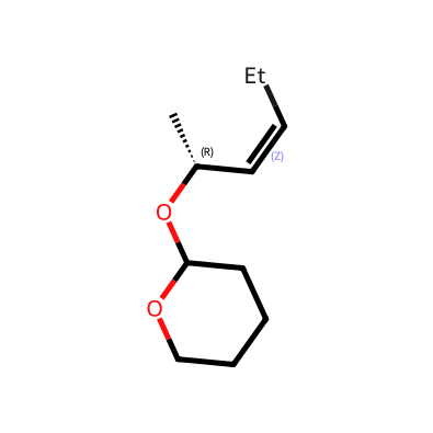 CC/C=C\[C@@H](C)OC1CCCCO1